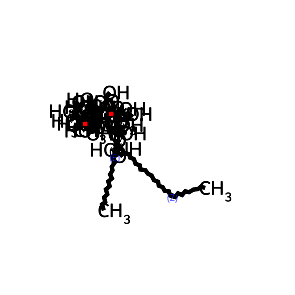 CCCCCCCC/C=C\CCCCCCCCCCCCCCCC(=O)N[C@@H](CO[C@@H]1OC(CO)[C@@H](O[C@@H]2OC(CO)[C@H](O)[C@H](O[C@@H]3OC(CO)[C@@H](O)[C@H](O[C@@H]4OC(CO)[C@H](O)[C@H](O[C@H]5OC(CO)[C@H](O)[C@H](O)C5NC(C)=O)C4O[C@H]4OC(C)[C@@H](O)C(O)[C@@H]4O)C3NC(C)=O)C2O)[C@H](O)C1O)[C@H](O)/C=C/CCCCCCCCCCCCC